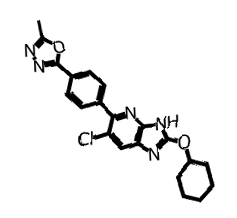 Cc1nnc(-c2ccc(-c3nc4[nH]c(OC5CCCCC5)nc4cc3Cl)cc2)o1